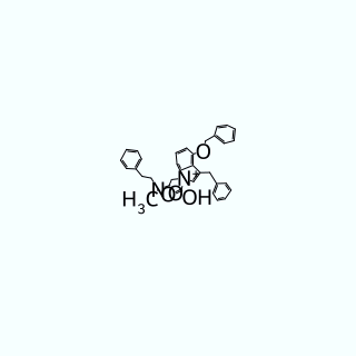 CN(CCc1ccccc1)C(=O)C[N+]1(C(=O)O)C=C(Cc2ccccc2)c2c(OCc3ccccc3)cccc21